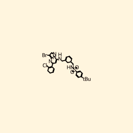 CC(C)(C)c1ccc(S(=O)(=O)NCC2C=CC=C(CNc3cc(C4=C(Cl)CCC=C4)nc4c(Br)cnn34)C2)cc1